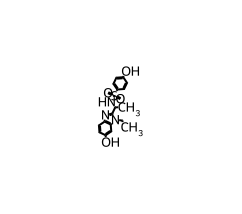 CCn1c(C(C)NS(=O)(=O)c2ccc(O)cc2)nc2ccc(O)cc21